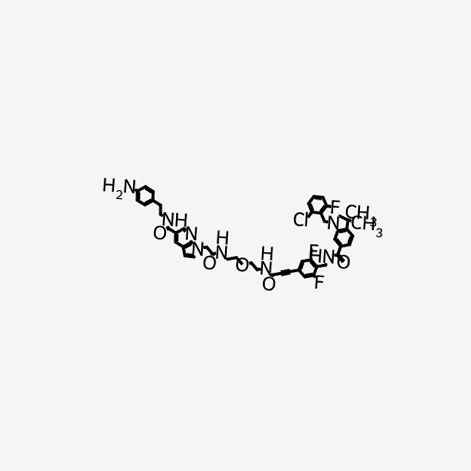 CC1(C)CN(Cc2c(F)cccc2Cl)c2cc(C(=O)NCc3c(F)cc(C#CC(=O)NCCOCCNC(=O)Cn4ccc5cc(C(=O)NCCc6ccc(N)cc6)cnc54)cc3F)ccc21